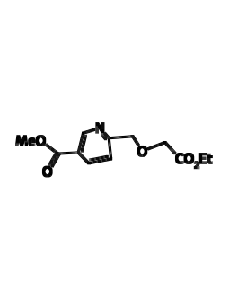 CCOC(=O)COCc1ccc(C(=O)OC)cn1